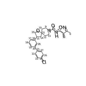 Cc1noc(NC(=O)N2CCC3(CC2)CC(c2cccc(-c4ccc(Cl)cc4)c2)CO3)c1C